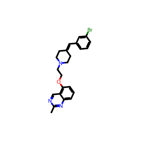 Cc1ncc2c(OCCN3CCC(=Cc4cccc(Br)c4)CC3)cccc2n1